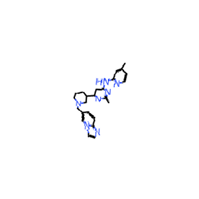 Cc1ccnc(Nc2cc(C3CCCN(Cc4ccc5nccn5c4)C3)nc(C)n2)c1